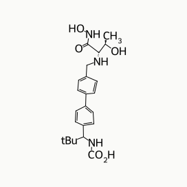 C[C@@H](O)[C@H](NCc1ccc(-c2ccc(C(NC(=O)O)C(C)(C)C)cc2)cc1)C(=O)NO